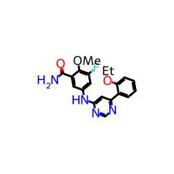 CCOc1ccccc1-c1cc(Nc2cc(F)c(OC)c(C(N)=O)c2)ncn1